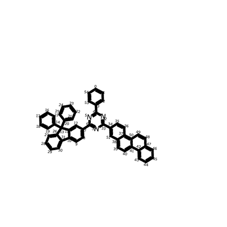 c1ccc(-c2nc(-c3ccc4c(c3)C(c3ccccc3)(c3ccccc3)c3ccccc3-4)nc(-c3ccc4c(ccc5c6ccccc6ccc45)c3)n2)cc1